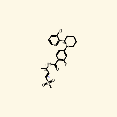 C[C@H](/C=C/S(C)(=O)=O)NC(=O)c1ccc(N2CCCC[C@H]2c2ccccc2Cl)cc1F